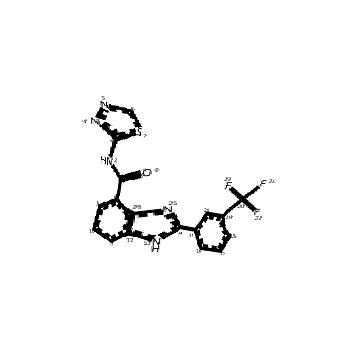 O=C(Nc1nncs1)c1cccc2[nH]c(-c3cccc(C(F)(F)F)c3)nc12